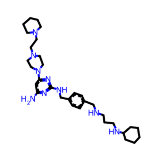 Nc1cc(N2CCN(CCN3CCCCC3)CC2)nc(NCc2ccc(CNCCCNC3CCCCC3)cc2)n1